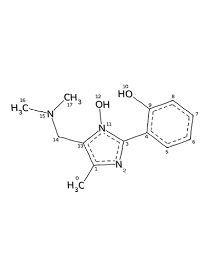 Cc1nc(-c2ccccc2O)n(O)c1CN(C)C